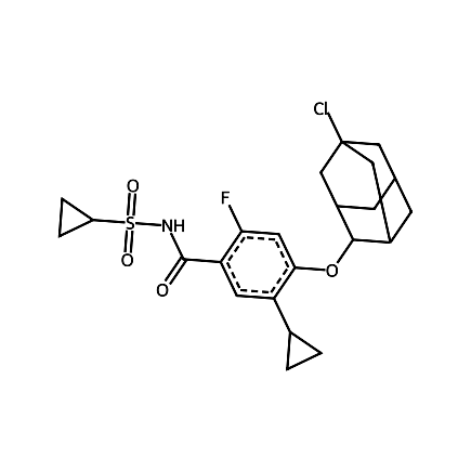 O=C(NS(=O)(=O)C1CC1)c1cc(C2CC2)c(OC2C3CC4CC2CC(Cl)(C4)C3)cc1F